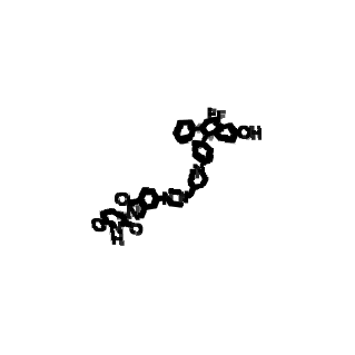 O=C1CC[C@H](N2Cc3cc(N4CCN(CC5CCN(c6ccc([C@@H]7c8ccc(O)cc8C(F)(F)C[C@@H]7c7ccccc7)cc6)CC5)CC4)ccc3C2=O)C(=O)N1